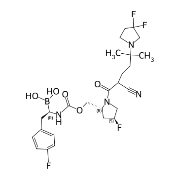 CC(C)(CCC(C#N)C(=O)N1C[C@@H](F)C[C@@H]1COC(=O)N[C@@H](Cc1ccc(F)cc1)B(O)O)N1CCC(F)(F)C1